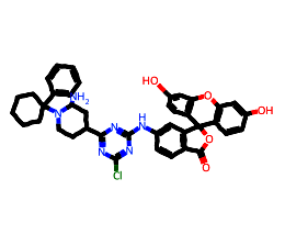 NC1CC(c2nc(Cl)nc(Nc3ccc4c(c3)C3(OC4=O)c4ccc(O)cc4Oc4cc(O)ccc43)n2)CCN1C1(c2ccccc2)CCCCC1